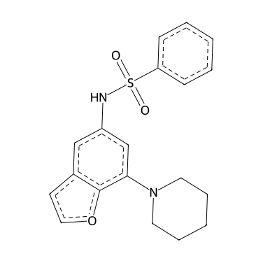 O=S(=O)(Nc1cc(N2CCCCC2)c2occc2c1)c1ccccc1